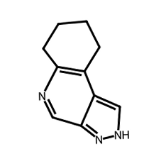 c1nc2c(c3c[nH]nc13)CCCC2